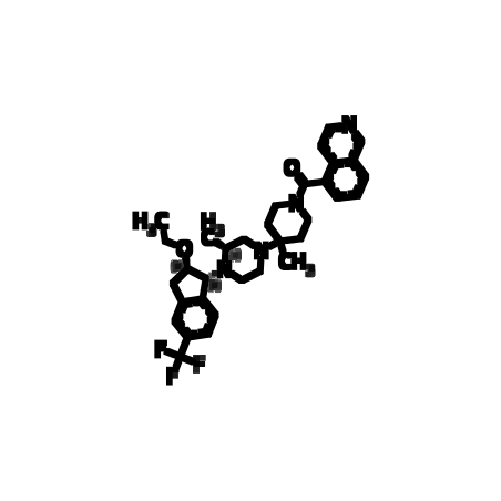 CCO[C@@H]1Cc2cc(C(F)(F)F)ccc2[C@H]1N1CCN(C2(C)CCN(C(=O)c3cccc4cnccc34)CC2)C[C@@H]1C